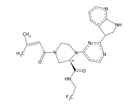 CC(C)=CC(=O)N1CCN(c2ccnc(C3CNc4ncccc43)n2)[C@@H](C(=O)NCC(F)(F)F)C1